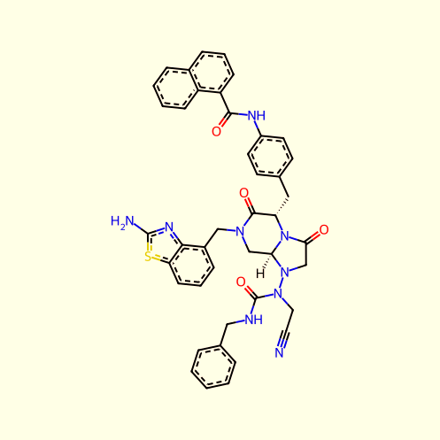 N#CCN(C(=O)NCc1ccccc1)N1CC(=O)N2[C@@H](Cc3ccc(NC(=O)c4cccc5ccccc45)cc3)C(=O)N(Cc3cccc4sc(N)nc34)C[C@@H]21